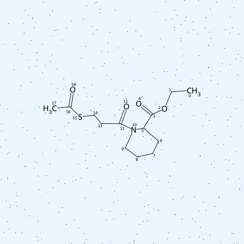 CCOC(=O)[C]1[CH]CCCN1C(=O)CCSC(C)=O